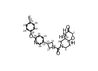 O=C1CO[C@H]2CCN(C(=O)N3CC(c4ccc(Oc5ccc(F)cc5)nc4)C3)C[C@H]2N1